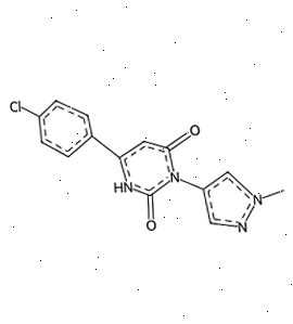 Cn1cc(-n2c(=O)cc(-c3ccc(Cl)cc3)[nH]c2=O)cn1